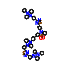 O=S1(=O)c2ccccc2N(c2ccc(-c3nc(-c4ccc(N5c6ccccc6N(c6ccccc6)c6ccccc65)cc4)ns3)cc2)c2ccc(-c3ccc(N4c5ccccc5N(c5cccc(-c6nc(-c7cccc(N8c9ccccc9N(c9ccccc9)c9ccccc98)c7)ns6)c5)c5ccccc54)cc3)cc21